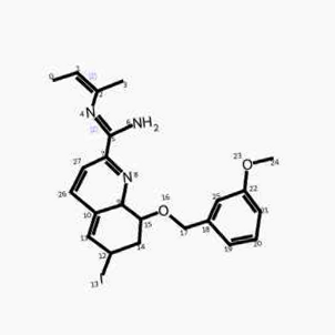 C/C=C(C)\N=C(/N)C1=NC2C(=CC(I)CC2OCc2cccc(OC)c2)C=C1